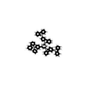 c1ccc(S(c2ccccc2)(c2ccccc2)c2ccc(-c3cc(-n4c5ccccc5c5cc(-n6c7ccccc7c7ccccc76)ccc54)nc(-n4c5ccccc5c5cc(-n6c7ccccc7c7ccccc76)ccc54)n3)cc2)cc1